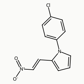 O=[N+]([O-])/C=C/c1cccn1-c1ccc(Cl)cc1